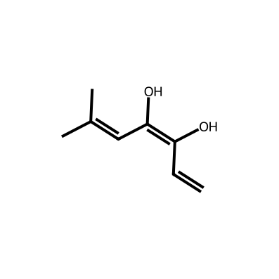 C=C/C(O)=C(/O)C=C(C)C